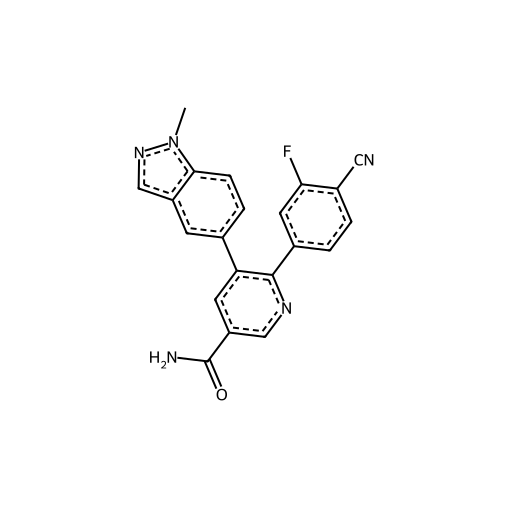 Cn1ncc2cc(-c3cc(C(N)=O)cnc3-c3ccc(C#N)c(F)c3)ccc21